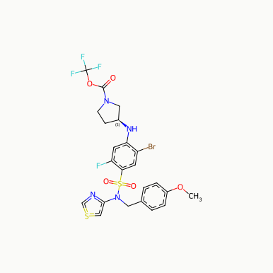 COc1ccc(CN(c2cscn2)S(=O)(=O)c2cc(Br)c(N[C@H]3CCN(C(=O)OC(F)(F)F)C3)cc2F)cc1